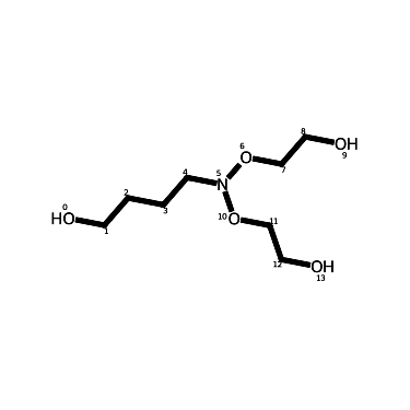 OCCCCN(OCCO)OCCO